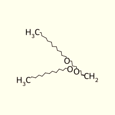 C=CCOCC(COCCCCCCCCCCCC)OCCCCCCCCCCCC